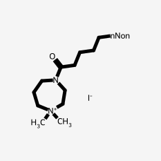 CCCCCCCCCCCCCC(=O)N1CCC[N+](C)(C)CC1.[I-]